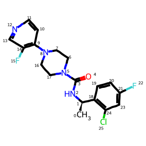 C[C@@H](NC(=O)N1CCN(c2ccncc2F)CC1)c1ccc(F)cc1Cl